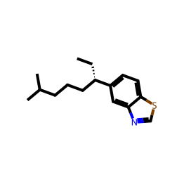 CC[C@@H](CCCC(C)C)c1ccc2scnc2c1